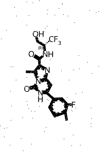 Cc1ccc(-c2cc3nc(C(=O)N[C@H](CO)C(F)(F)F)c(C)n3c(=O)[nH]2)cc1F